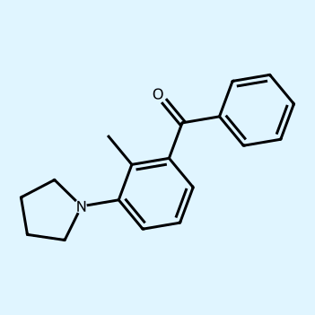 Cc1c(C(=O)c2ccccc2)cccc1N1CCCC1